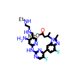 CCNCCNCc1cnc(Nc2ncc(F)c(-c3cc(F)c4nc(C)n(C(C)CC(=O)OC)c4c3)n2)cc1N